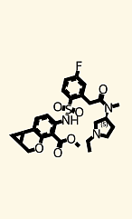 CCN1CC[C@H](N(C)C(=O)Cc2cc(F)ccc2S(=O)(=O)Nc2ccc3c(c2C(=O)OC)OCC2CC32)C1